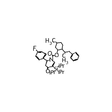 CC1CCC(C(C)Cc2ccccc2)C(OC(=O)N2C=C([Si](C(C)C)(C(C)C)C(C)C)C(=O)CC2c2ccc(F)cc2)C1